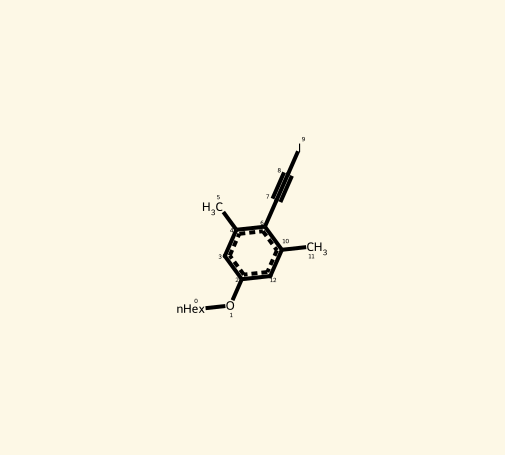 CCCCCCOc1cc(C)c(C#CI)c(C)c1